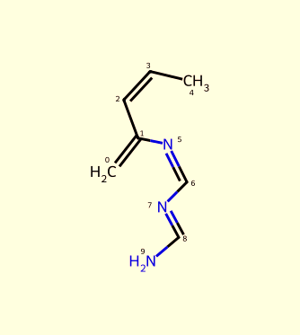 C=C(/C=C\C)/N=C\N=C\N